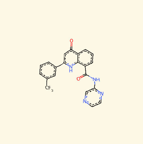 O=C(Nc1cnccn1)c1cccc2c(=O)cc(-c3cccc(C(F)(F)F)c3)[nH]c12